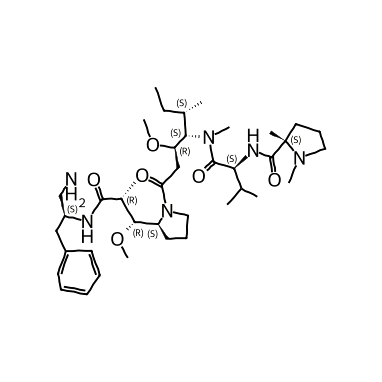 CC[C@H](C)[C@@H]([C@@H](CC(=O)N1CCC[C@H]1[C@H](OC)[C@@H](C)C(=O)N[C@H](CN)Cc1ccccc1)OC)N(C)C(=O)[C@@H](NC(=O)[C@]1(C)CCCN1C)C(C)C